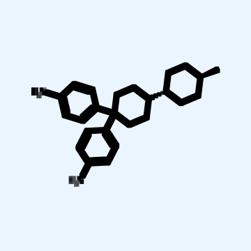 C[C@H]1CC[C@H](C2CCC(c3ccc(N)cc3)(c3ccc(N)cc3)CC2)CC1